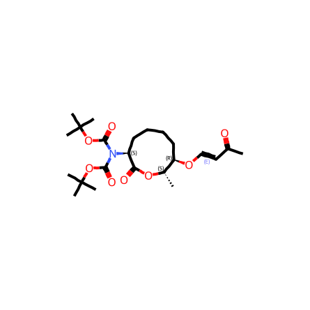 CC(=O)/C=C/O[C@@H]1CCCC[C@H](N(C(=O)OC(C)(C)C)C(=O)OC(C)(C)C)C(=O)O[C@H]1C